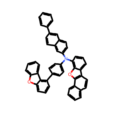 c1ccc(-c2ccc3cc(N(c4ccc(-c5cccc6oc7ccccc7c56)cc4)c4cccc5c4oc4c6ccccc6ccc54)ccc3c2)cc1